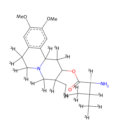 [2H]C([2H])([2H])C([2H])(C([2H])([2H])[2H])[C@]([2H])(N)C(=O)OC1C([2H])([2H])C2([2H])c3cc(OC)c(OC)cc3C([2H])([2H])C([2H])([2H])N2C([2H])([2H])C1([2H])CC(C)C